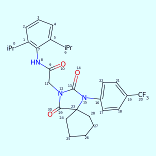 CC(C)c1cccc(C(C)C)c1NC(=O)CN1C(=O)N(c2ccc(C(F)(F)F)cc2)C2(CCCCC2)C1=O